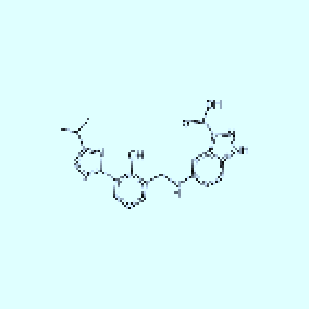 CC(C)c1csc(-c2cccc(CNc3ccc4[nH]nc(C(=O)O)c4c3)c2O)n1